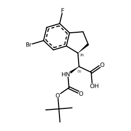 CC(C)(C)OC(=O)N[C@H](C(=O)O)[C@@H]1CCc2c(F)cc(Br)cc21